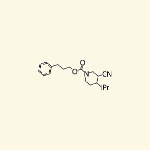 CC(C)C1CCN(C(=O)OCCCc2ccccc2)CC1C#N